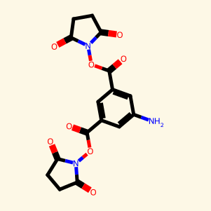 Nc1cc(C(=O)ON2C(=O)CCC2=O)cc(C(=O)ON2C(=O)CCC2=O)c1